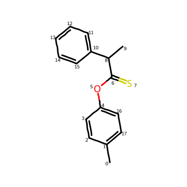 Cc1ccc(OC(=S)C(C)c2ccccc2)cc1